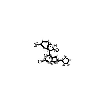 O=C1Nc2ccc(Br)cc2C1c1nc(Cl)nc2nn(C3CCCC3)cc12